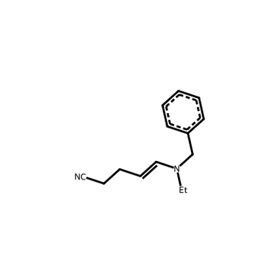 CCN(C=CCCC#N)Cc1ccccc1